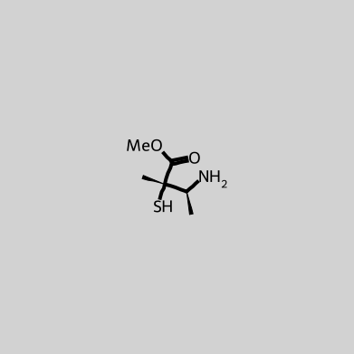 COC(=O)[C@@](C)(S)[C@H](C)N